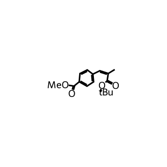 COC(=O)c1ccc(C=C(C)C(=O)OC(C)(C)C)cc1